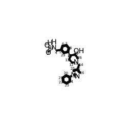 O=[SH](=O)NCc1cccc([C@@H]2CCN(Cc3cnn(-c4ccccc4)c3)C[C@@H]2O)c1